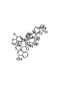 [2H]C([2H])([2H])OCC([2H])([2H])N1C([2H])([2H])C([2H])([2H])C([2H])(N(C(=O)CN2C(SC([2H])([2H])c3cccc(F)c3F)=CC(O)c3ccccc32)C([2H])(C)c2ccc(-c3ccc(C(F)(F)F)cc3)cc2)C([2H])([2H])C1([2H])[2H]